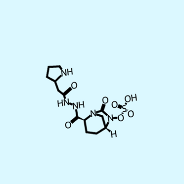 O=C(CC1CCCN1)NNC(=O)[C@@H]1CC[C@@H]2CN1C(=O)N2OS(=O)(=O)O